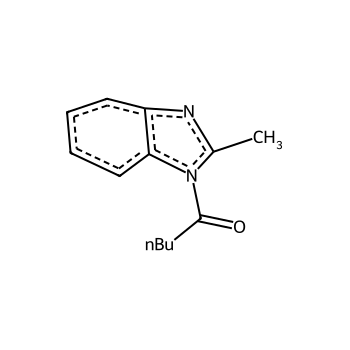 CCCCC(=O)n1c(C)nc2ccccc21